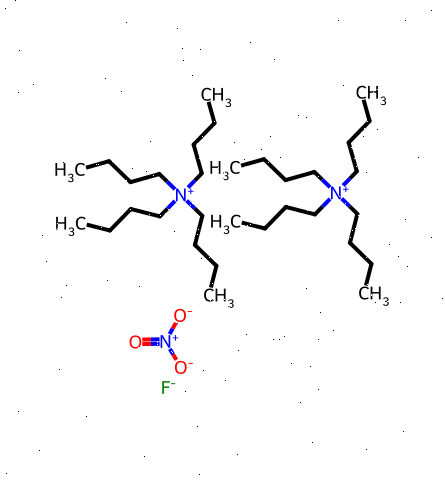 CCCC[N+](CCCC)(CCCC)CCCC.CCCC[N+](CCCC)(CCCC)CCCC.O=[N+]([O-])[O-].[F-]